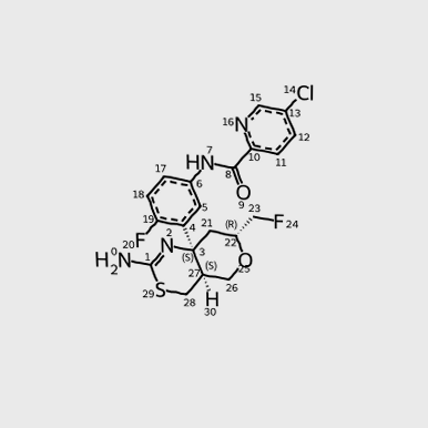 NC1=N[C@@]2(c3cc(NC(=O)c4ccc(Cl)cn4)ccc3F)C[C@H](CF)OC[C@H]2CS1